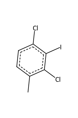 Cc1ccc(Cl)c(I)c1Cl